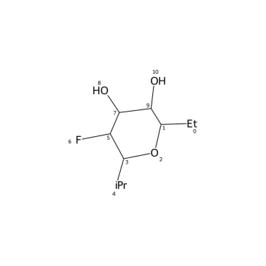 CCC1OC(C(C)C)C(F)C(O)C1O